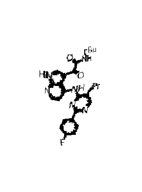 CCCCNC(=O)C(=O)c1c[nH]c2nccc(Nc3nc(-c4ccc(F)cc4)ncc3C(C)C)c12